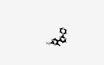 Cc1nc(N)ncc1-c1ccnc(N2CCOCC2)n1